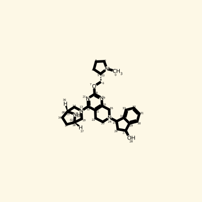 CN1CCC[C@H]1COc1nc2c(c(N3C[C@H]4CC[C@@H](C3)N4)n1)CCN(C1CC(O)c3ccccc31)C2